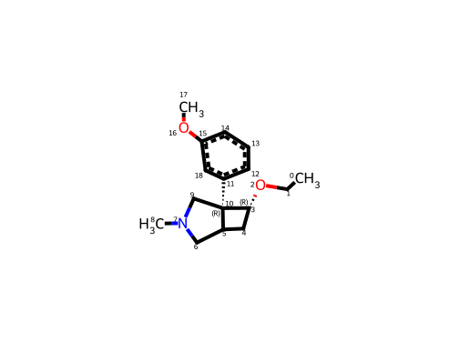 CCO[C@@H]1CC2CN(C)C[C@]21c1cccc(OC)c1